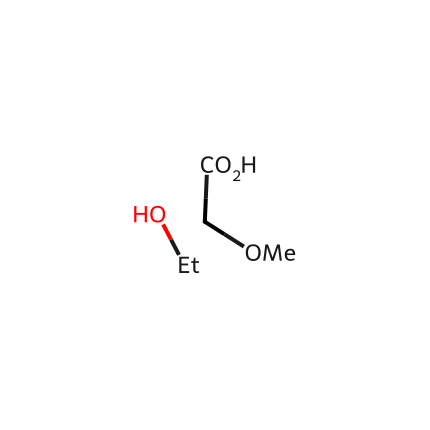 CCO.COCC(=O)O